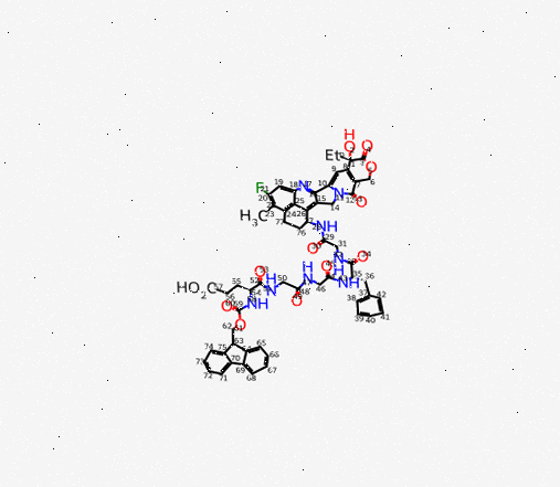 CC[C@@]1(O)C(=O)OCc2c1cc1n(c2=O)Cc2c-1nc1cc(F)c(C)c3c1c2[C@@H](NC(=O)CNC(=O)[C@H](Cc1ccccc1)NC(=O)CNC(=O)CNC(=O)[C@H](CCC(=O)O)NC(=O)OCC1c2ccccc2-c2ccccc21)CC3